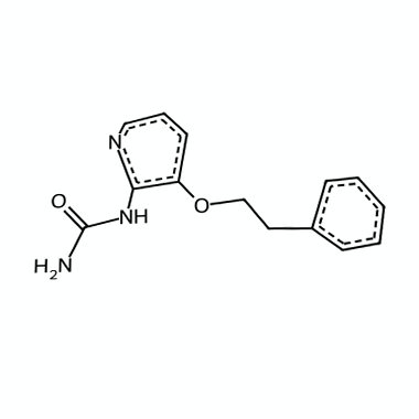 NC(=O)Nc1ncccc1OCCc1ccccc1